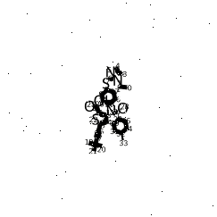 CCn1ccnc1S[C@H]1CC[C@H](N(c2cc(C#CC(C)(C)C)sc2C(=O)O)C(=O)[C@H]2CC[C@H](C)CC2)CC1